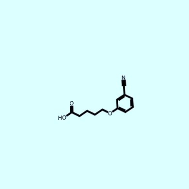 N#Cc1cccc(OCCCCC(=O)O)c1